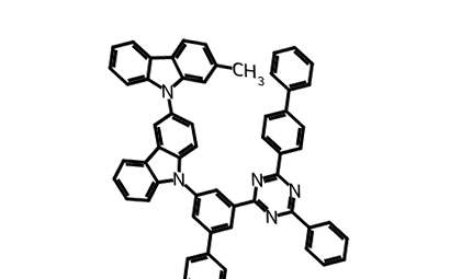 Cc1ccc2c3ccccc3n(-c3ccc4c(c3)c3ccccc3n4-c3cc(-c4ccccc4)cc(-c4nc(-c5ccccc5)nc(-c5ccc(-c6ccccc6)cc5)n4)c3)c2c1